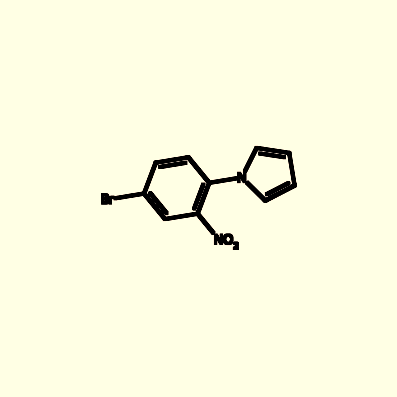 O=[N+]([O-])c1cc(Br)ccc1-n1cccc1